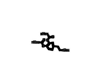 CCCCCCCCCCCCc1ccc(OC(=O)CCCCCC)c(OC(=O)CCCCCC)c1